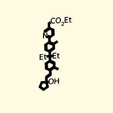 CCOC(=O)Cc1ccc(-c2ccc(C(CC)(CC)c3ccc(C=CC4(O)CCCC4)c(C)c3)cc2C)nc1